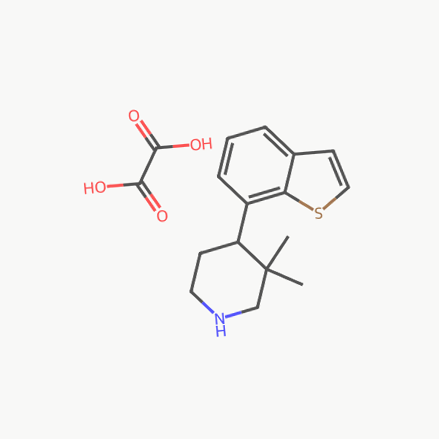 CC1(C)CNCCC1c1cccc2ccsc12.O=C(O)C(=O)O